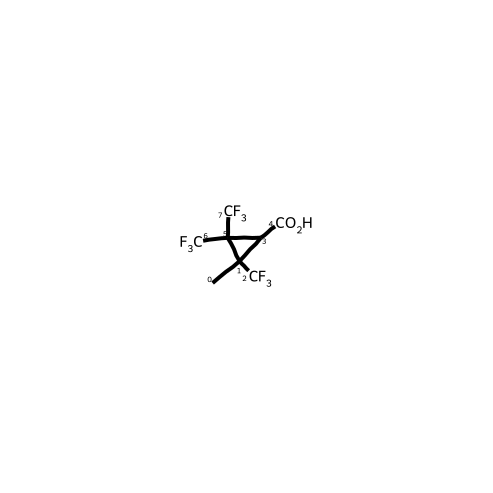 CC1(C(F)(F)F)C(C(=O)O)C1(C(F)(F)F)C(F)(F)F